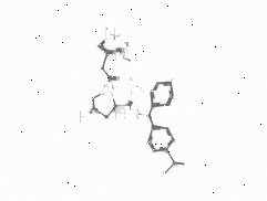 CC(C)c1ccc([C@@H](NC(=O)[C@H]2C[C@@H](F)CN2C(=O)Cc2cnnn2C)c2ccccc2)cc1